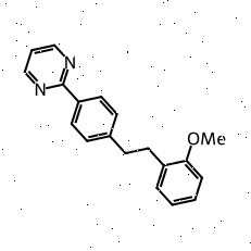 COc1ccccc1CCc1ccc(-c2ncccn2)cc1